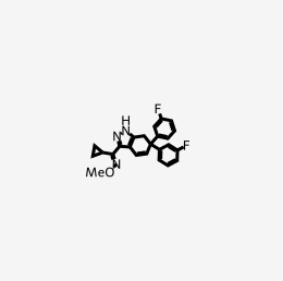 CON=C(c1n[nH]c2c1C=CC(c1cccc(F)c1)(c1cccc(F)c1)C2)C1CC1